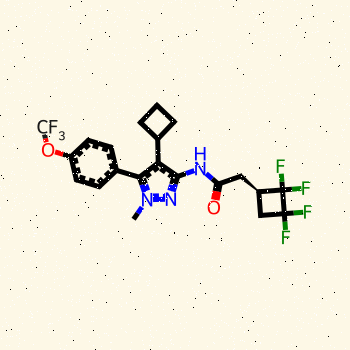 Cn1nc(NC(=O)C[C@@H]2CC(F)(F)C2(F)F)c(C2CCC2)c1-c1ccc(OC(F)(F)F)cc1